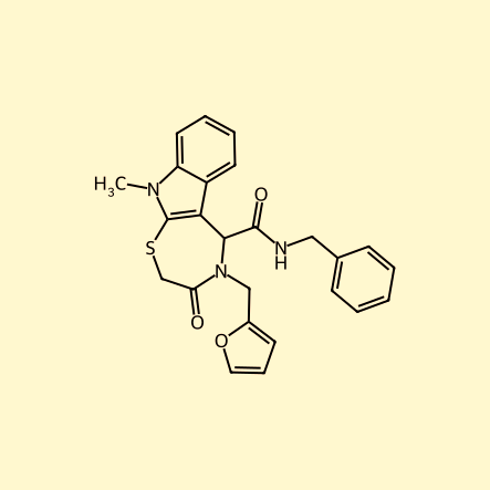 Cn1c2c(c3ccccc31)C(C(=O)NCc1ccccc1)N(Cc1ccco1)C(=O)CS2